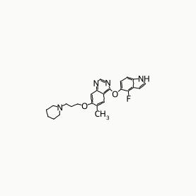 Cc1cc2c(Oc3ccc4[nH]ccc4c3F)ncnc2cc1OCCCN1CCCCC1